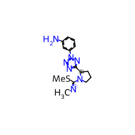 C/N=C(\SC)N1CCC[C@@H]1c1nnn(-c2cccc(N)c2)n1